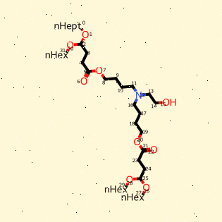 CCCCCCCOC(CCC(=O)OCCCCN(CCO)CCCCOC(=O)CCC(OCCCCCC)OCCCCCC)OCCCCCC